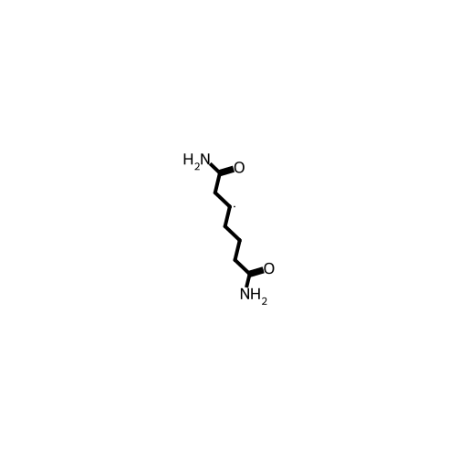 NC(=O)C[CH]CCCC(N)=O